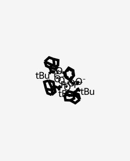 CC(C)(C)C(=[P+]([O-])Oc1cccc(O[P+]([O-])=C(C(C)(C)C)C23CC4CC(CC(C4)C2)C3)c1O[P+]([O-])=C(C(C)(C)C)C12CC3CC(CC(C3)C1)C2)C12CC3CC(CC(C3)C1)C2